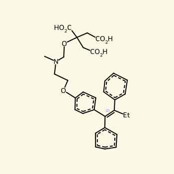 CC/C(=C(\c1ccccc1)c1ccc(OCCN(C)COC(CC(=O)O)(CC(=O)O)C(=O)O)cc1)c1ccccc1